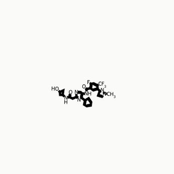 Cn1ccc(-c2cc(C(=O)Nc3cnc(CC(=O)NC4CC(O)C4)nc3-c3ccccc3)c(F)cc2C(F)(F)F)n1